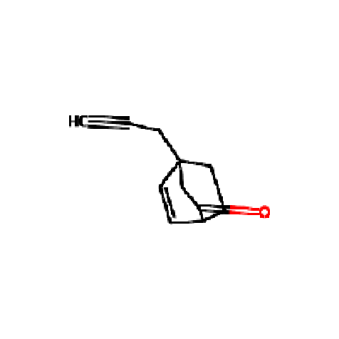 C#CCC12C=CC(CC1)C(=O)C2